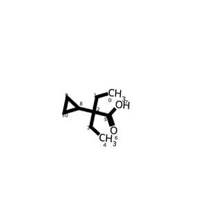 CCC(CC)(C(=O)O)C1CC1